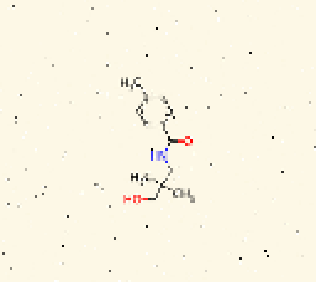 Cc1ccc(C(=O)NCC(C)(C)CO)cc1